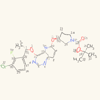 C[C@H](Oc1ncnc2ccc(O[C@H]3CCN(C(=O)OC(C)(C)C)C3)nc12)c1cccc(Cl)c1F